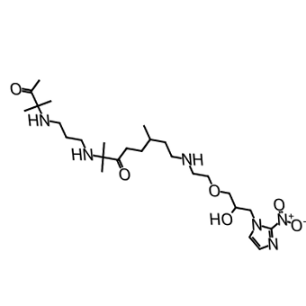 CC(=O)C(C)(C)NCCCNC(C)(C)C(=O)CCC(C)CCNCCOCC(O)Cn1ccnc1[N+](=O)[O-]